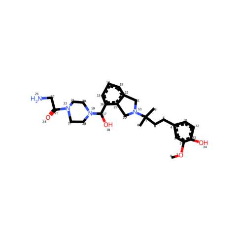 COc1cc(CCC(C)(C)N2Cc3cccc(C(O)N4CCN(C(=O)CN)CC4)c3C2)ccc1O